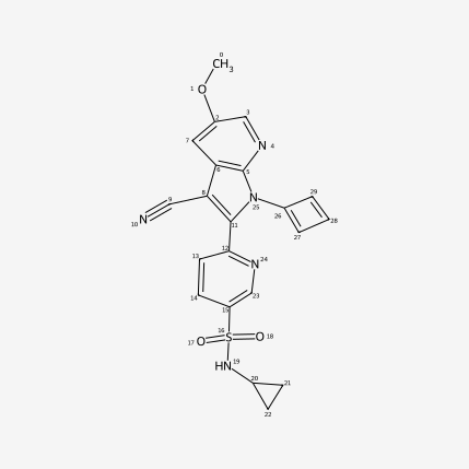 COc1cnc2c(c1)c(C#N)c(-c1ccc(S(=O)(=O)NC3CC3)cn1)n2C1=CC=C1